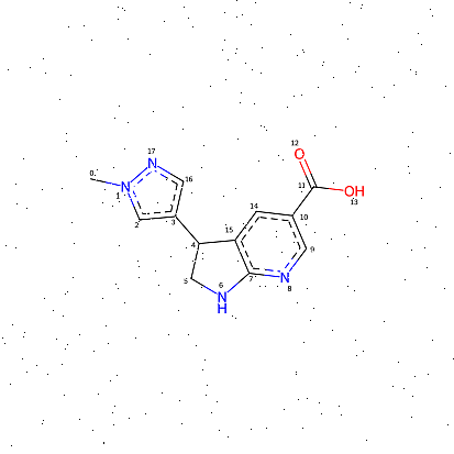 Cn1cc(C2CNc3ncc(C(=O)O)cc32)cn1